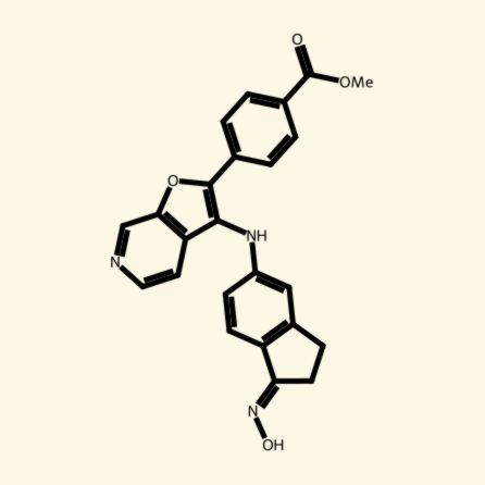 COC(=O)c1ccc(-c2oc3cnccc3c2Nc2ccc3c(c2)CCC3=NO)cc1